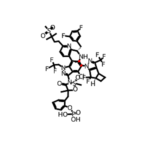 CC(Cn1nc(C(F)(F)F)c2c1C(F)(F)[C@@H]1CCC21)N[C@@H](Cc1cc(F)cc(F)c1)c1nc(CCC(C)(C)S(C)(=O)=O)ccc1-c1ccc(Cl)c2c(N(C(=O)C(C)(C)Cc3ccccc3OP(=O)(O)O)S(C)(=O)=O)nn(CC(F)(F)F)c12